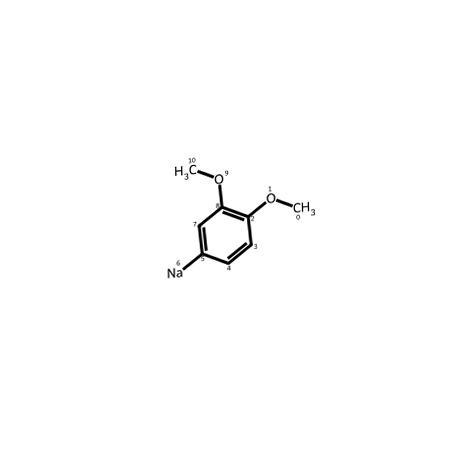 COc1cc[c]([Na])cc1OC